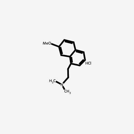 COc1ccc2cccc(CCN(C)C)c2c1.Cl